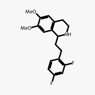 COc1cc2c(cc1OC)C(CCc1ccc(F)cc1F)NCC2